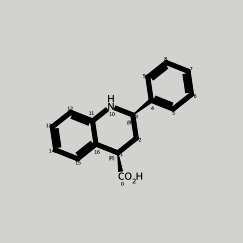 O=C(O)[C@@H]1C[C@H](c2ccccc2)Nc2ccccc21